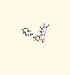 C=C1CCC(N(C)C(=O)c2cc(C/C=C/C=C3/C=CC=CC3=N)ccc2C=O)C(=C)N1